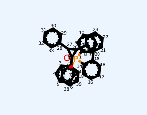 O=P(c1ccccc1)(c1ccccc1)c1ccccc1-c1ccccc1C1C(c2ccccc2)C1c1ccccc1